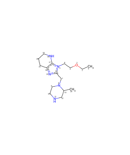 CCOCCn1c(CN2CCNCC2C)nc2c1NCCC2